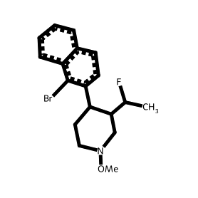 CON1CCC(c2ccc3ccccc3c2Br)C(C(C)F)C1